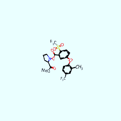 COC(=O)C1CCCN1OC(=O)c1cc(Oc2ccc(C(F)(F)F)cc2C)ccc1S(=O)(=O)C(F)(F)F